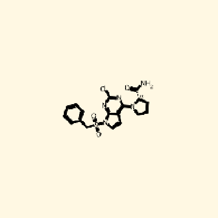 NC(=O)[C@@H]1CCCN1c1nc(Cl)nc2c1ccn2S(=O)(=O)Cc1ccccc1